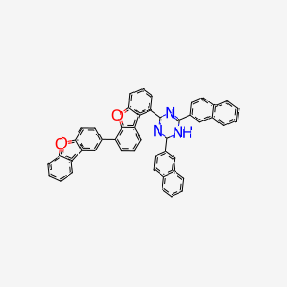 c1ccc2cc(C3=NC(c4cccc5oc6c(-c7ccc8oc9ccccc9c8c7)cccc6c45)=NC(c4ccc5ccccc5c4)N3)ccc2c1